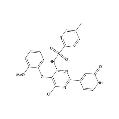 COc1ccccc1Oc1c(Cl)nc(-c2cc[nH]c(=O)c2)nc1NS(=O)(=O)c1ccc(C)cn1